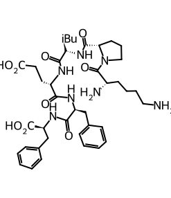 CC[C@H](C)[C@H](NC(=O)[C@@H]1CCCN1C(=O)[C@@H](N)CCCCN)C(=O)N[C@@H](CCC(=O)O)C(=O)N[C@@H](Cc1ccccc1)C(=O)N[C@@H](Cc1ccccc1)C(=O)O